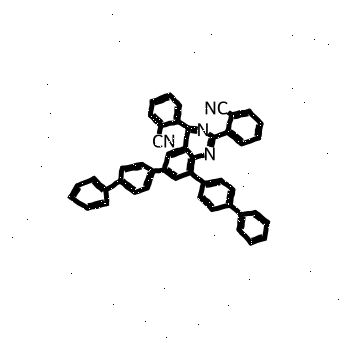 N#Cc1ccccc1-c1nc(-c2ccccc2C#N)c2cc(-c3ccc(-c4ccccc4)cc3)cc(-c3ccc(-c4ccccc4)cc3)c2n1